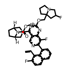 C=Cc1c(F)ccc2cccc(-c3ncc4c(N5C[C@H]6CC[C@@H](C5)N6C(=O)OC(C)(C)C)nc(OCC56CCCN5CC(F)C6)nc4c3F)c12